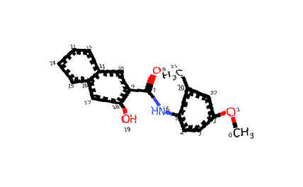 COc1ccc(NC(=O)c2cc3ccccc3cc2O)c(C)c1